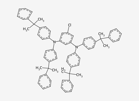 CC(C)(c1ccccc1)c1ccc(N(c2ccc(C(C)(C)c3ccccc3)cc2)c2cc(Cl)cc(N(c3ccc(C(C)(C)c4ccccc4)cc3)c3ccc(C(C)(C)c4ccccc4)cc3)c2)cc1